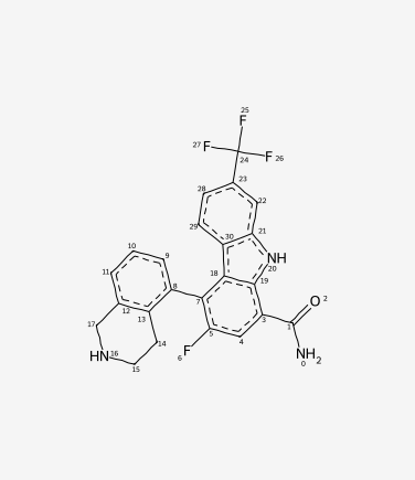 NC(=O)c1cc(F)c(-c2cccc3c2CCNC3)c2c1[nH]c1cc(C(F)(F)F)ccc12